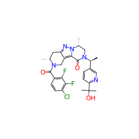 C[C@@H]1Cc2nn3c(c2CN1C(=O)c1ccc(Cl)c(F)c1F)C(=O)N([C@@H](C)c1ccc(C(C)(C)O)nc1)C[C@H]3C